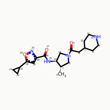 C[C@H]1CN(C(=O)CC2CCNCC2)C[C@@H]1NC(=O)c1cc(C2CC2)on1